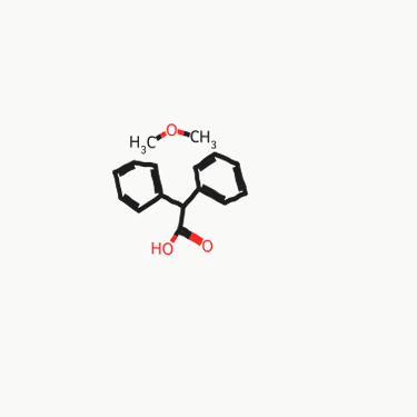 COC.O=C(O)C(c1ccccc1)c1ccccc1